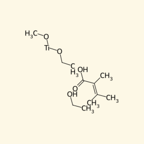 CC(C)=C(C)C(=O)O.CCO.CC[O][Ti][O]C